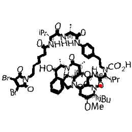 CC[C@@H](C)[C@@H]([C@@H](CC(=O)N1CCC[C@H]1[C@H](OC)[C@@H](C)C(=O)N[C@@H](C)[C@H](O)c1ccccc1)OC)N(C)C(=O)[C@@H](NC(=O)[C@H](C(C)C)N(CCc1ccc(NC(=O)[C@@H](C)NC(=O)[C@H](NC(=O)CCCCCN2C(=O)C(Br)=C(Br)C2=O)C(C)C)cc1)C(=O)O)C(C)C